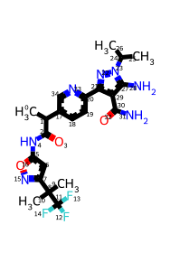 CC(C(=O)Nc1cc(C(C)(C)C(F)(F)F)no1)c1ccc(-c2nn(C(C)C)c(N)c2C(N)=O)nc1